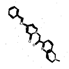 CN1CCc2nc(C(=O)Cn3ccc(OCc4ccccc4)cc3=O)ccc2C1